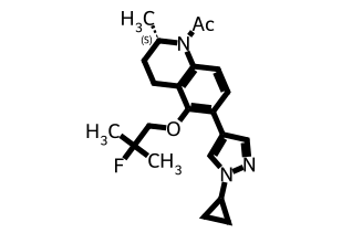 CC(=O)N1c2ccc(-c3cnn(C4CC4)c3)c(OCC(C)(C)F)c2CC[C@@H]1C